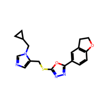 c1cc2c(cc1-c1nnc(SCc3cncn3CC3CC3)o1)CCO2